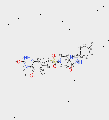 COc1c(N(C)C(N)=O)cc(C)c(CCS(=O)(=O)N2CCC3(CC2)N=C(C2CCC(C)CC2)NC3=O)c1C